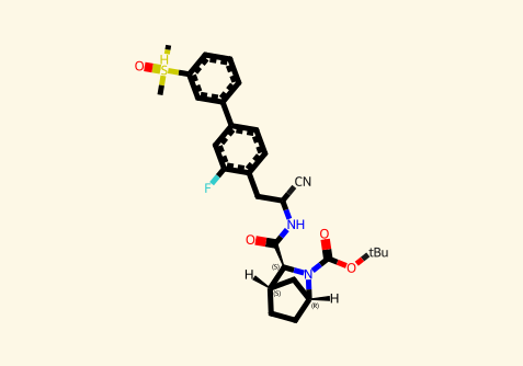 CC(C)(C)OC(=O)N1[C@@H]2CC[C@@H](C2)[C@H]1C(=O)NC(C#N)Cc1ccc(-c2cccc([SH](C)(C)=O)c2)cc1F